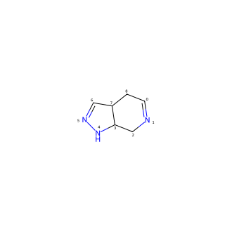 C1=NCC2NN=CC2C1